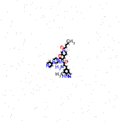 CCCCC(=O)N1CCC(CC(NC(=O)C(N)Cc2cc(C)c3[nH]ncc3c2)C(=O)N2CCN(c3ccncc3)CC2)CC1